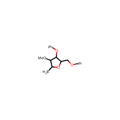 BC1OC(COC(C)C)C(OC(C)C)C1OC